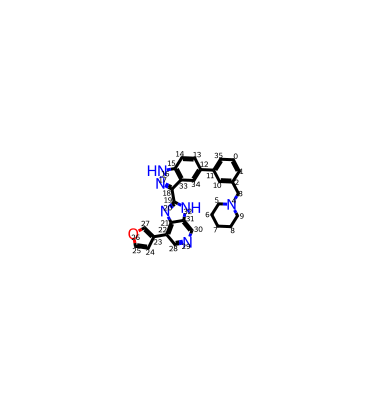 c1cc(CN2CCCCC2)cc(-c2ccc3[nH]nc(-c4nc5c(-c6ccoc6)cncc5[nH]4)c3c2)c1